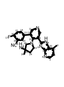 Cc1ccnc2nc(-c3cncc(-c4ccc(F)c(C#N)c4)c3N3CCC(C)(N)C3)[nH]c12